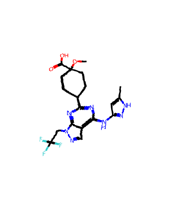 COC1(C(=O)O)CCC(c2nc(Nc3cc(C)[nH]n3)c3cnn(CC(F)(F)F)c3n2)CC1